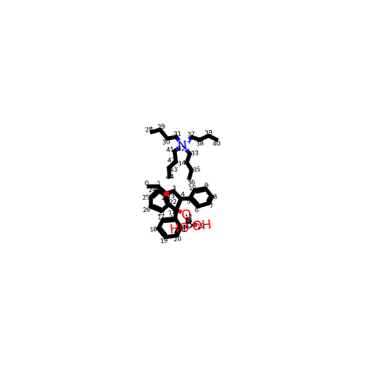 CCCCC(c1ccccc1)C(OB(O)O)(c1ccccc1)c1ccccc1.CCCC[N+](CCCC)(CCCC)CCCC